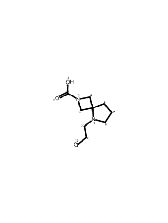 O=C(O)N1CC2(CCCN2CCCl)C1